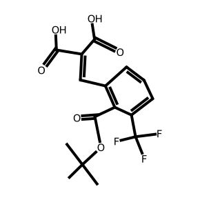 CC(C)(C)OC(=O)c1c(C=C(C(=O)O)C(=O)O)cccc1C(F)(F)F